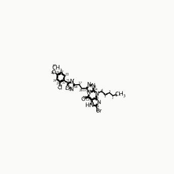 CCCCCn1c2nc(Br)[nH]c2c(=O)n2c(CCc3noc(-c4ccc(OC)cc4Cl)n3)nnc12